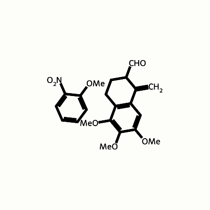 C=C1c2cc(OC)c(OC)c(OC)c2CCC1C=O.COc1ccccc1[N+](=O)[O-]